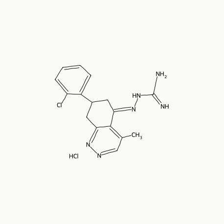 Cc1cnnc2c1/C(=N/NC(=N)N)CC(c1ccccc1Cl)C2.Cl